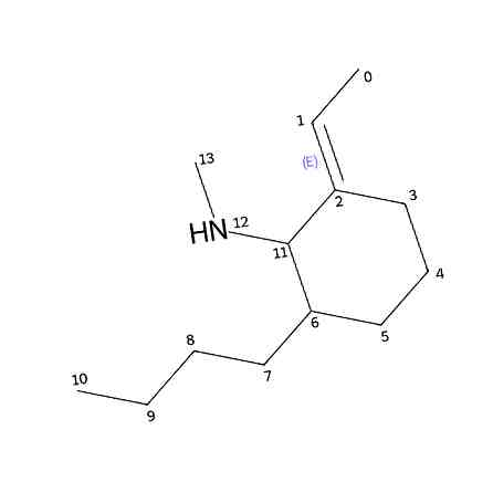 C/C=C1\CCCC(CCCC)C1NC